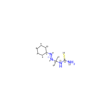 CC(C)(/N=N/C1CCCCC1)NC(N)=S